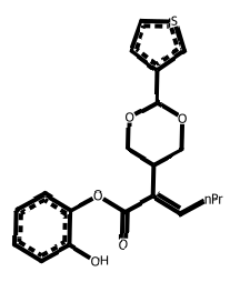 CCCC=C(C(=O)Oc1ccccc1O)C1COC(c2ccsc2)OC1